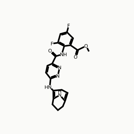 COC(=O)c1cc(F)cc(F)c1NC(=O)c1ccc(NC2=C3CCCC(=CC2)N3)nn1